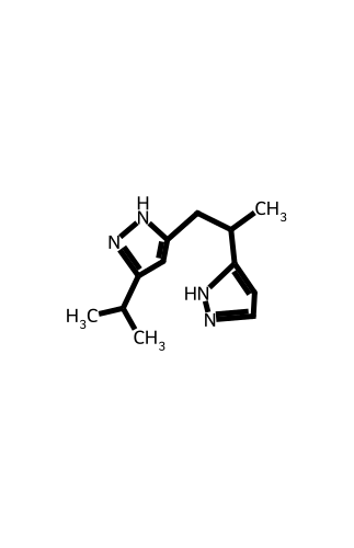 CC(C)c1cc(CC(C)c2ccn[nH]2)[nH]n1